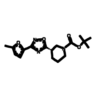 Cc1ccc(-c2noc([C@H]3CCCN(C(=O)OC(C)(C)C)C3)n2)o1